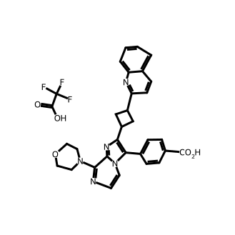 O=C(O)C(F)(F)F.O=C(O)c1ccc(-c2c(C3CC(c4ccc5ccccc5n4)C3)nc3c(N4CCOCC4)nccn23)cc1